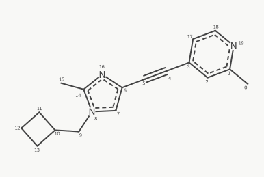 Cc1cc(C#Cc2cn(CC3CCC3)c(C)n2)ccn1